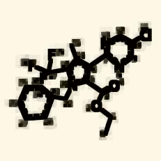 CCOC(=O)c1c(-c2ncc(Cl)cn2)c(C)c(C(F)(F)F)n1Cc1ccccc1